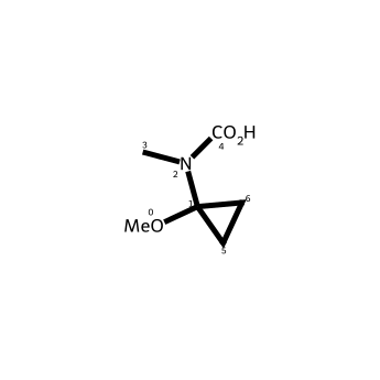 COC1(N(C)C(=O)O)CC1